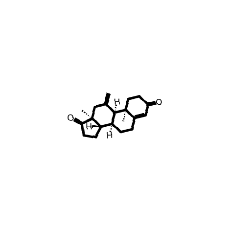 C=C1C[C@]2(C)C(=O)CC[C@H]2[C@@H]2CCC3=CC(=O)CC[C@]3(C)[C@H]12